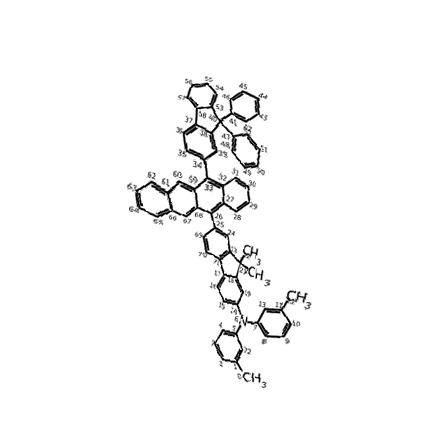 Cc1cccc(N(c2cccc(C)c2)c2ccc3c(c2)C(C)(C)c2cc(-c4c5ccccc5c(-c5ccc6c(c5)C(c5ccccc5)(c5ccccc5)c5ccccc5-6)c5cc6ccccc6cc45)ccc2-3)c1